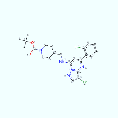 CC(C)(C)OC(=O)N1CCC(CNc2cc(-c3ccccc3Cl)nc3c(Br)cnn23)CC1